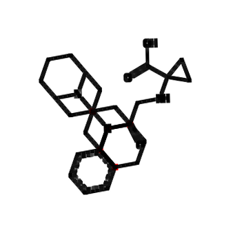 O=C(CNC1(C(=O)O)CC1)N(c1ccccc1)C1CC2CCCC(C1)N2C1CC2CCCC(C2)C1